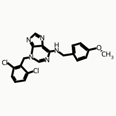 COc1ccc(CNc2ncn(Cc3c(Cl)cccc3Cl)c3ncnc2-3)cc1